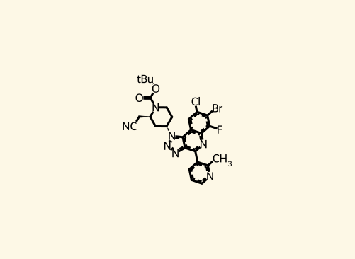 Cc1ncccc1-c1nc2c(F)c(Br)c(Cl)cc2c2c1nnn2[C@H]1CCN(C(=O)OC(C)(C)C)[C@H](CC#N)C1